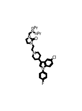 CCCN(CCC)CN1CCN(CCN2CCC(c3cn(-c4ccc(F)cc4)c4ccc(Cl)cc34)CC2)C1=O